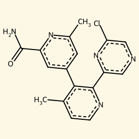 Cc1cc(-c2c(C)ccnc2-c2cncc(Cl)n2)cc(C(N)=O)n1